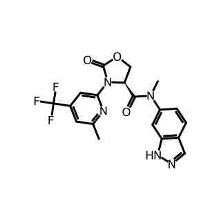 Cc1cc(C(F)(F)F)cc(N2C(=O)OC[C@H]2C(=O)N(C)c2ccc3cn[nH]c3c2)n1